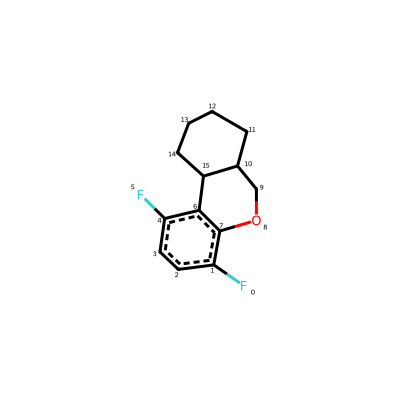 Fc1ccc(F)c2c1OCC1CCCCC21